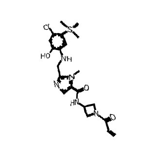 C=CC(=O)N1CC(NC(=O)c2cnc(CNc3cc(S(C)(C)C)c(Cl)cc3O)n2C)C1